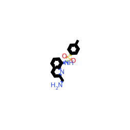 Cc1ccc(S(=O)(=O)Nc2cccc3ccc(CN)nc23)cc1